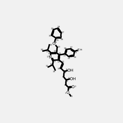 COC(=O)CC(O)CC(O)C=Cc1c(C(C)C)nc(C(C)C)c(COc2ccccc2)c1-c1ccc(F)cc1